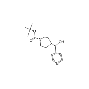 CC(C)(C)OC(=O)N1CCC(C(O)c2ccncc2)CC1